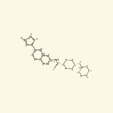 Cn1cc(-c2ccc3cnc(NC(=O)[C@H]4CC[C@@H](CN5CCOCC5)CC4)cc3c2)cn1